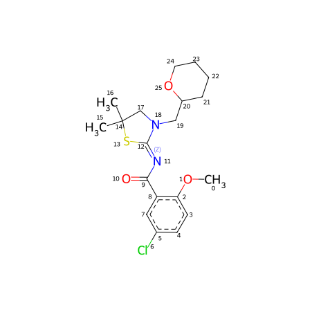 COc1ccc(Cl)cc1C(=O)/N=C1\SC(C)(C)CN1CC1CCCCO1